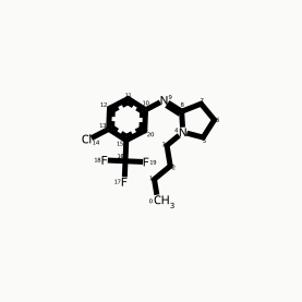 CCCCN1CCCC1=Nc1ccc(Cl)c(C(F)(F)F)c1